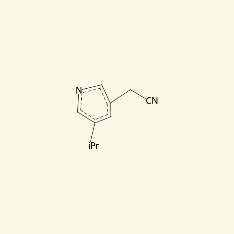 CC(C)c1cncc(CC#N)c1